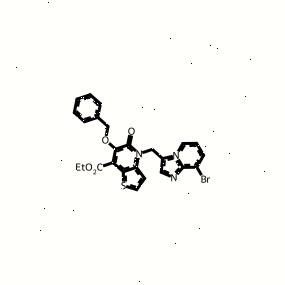 CCOC(=O)c1c(OCc2ccccc2)c(=O)n(Cc2cnc3c(Br)cccn23)c2ccsc12